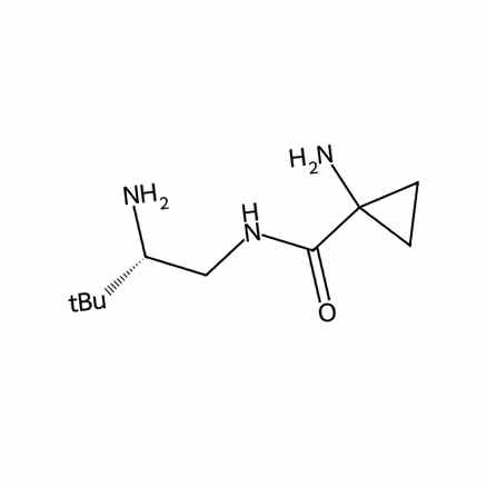 CC(C)(C)[C@H](N)CNC(=O)C1(N)CC1